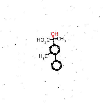 Cc1cc(C(C)(O)C(=O)O)ccc1-c1ccccc1